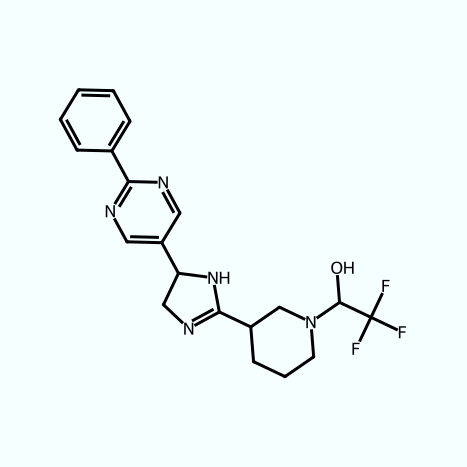 OC(N1CCCC(C2=NCC(c3cnc(-c4ccccc4)nc3)N2)C1)C(F)(F)F